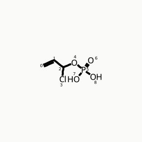 C=CC(Cl)OP(=O)(O)O